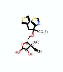 C#C[C@@]1(OC(C)=O)[C@@H](COC(Cc2ccsc2)(C(=O)OCC)c2cscn2)OC(O)[C@@H]1O